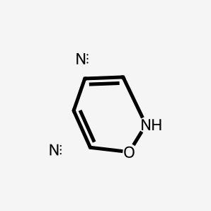 C1=CNOC=C1.[N].[N]